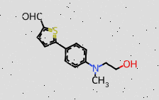 CN(CCO)c1ccc(-c2ccc(C=O)s2)cc1